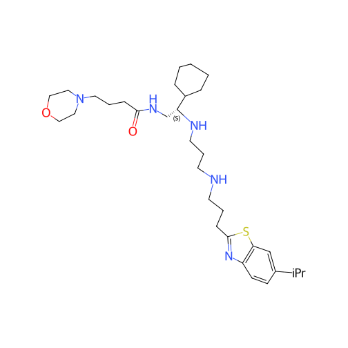 CC(C)c1ccc2nc(CCCNCCCN[C@H](CNC(=O)CCCN3CCOCC3)C3CCCCC3)sc2c1